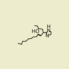 CCCCCCCCC=CC(CC(O)CC)C1=NCCN1